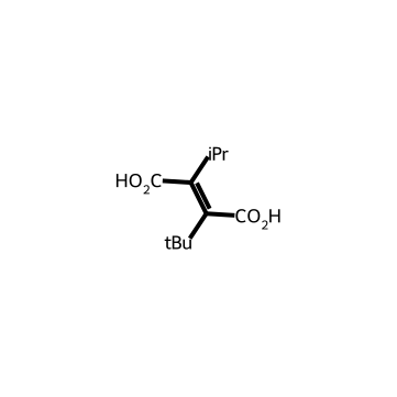 CC(C)/C(C(=O)O)=C(\C(=O)O)C(C)(C)C